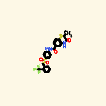 CC1Sc2ccc(C(=O)Nc3ccc(S(=O)(=O)Cc4ccccc4C(F)(F)F)cc3)cc2NC1=O